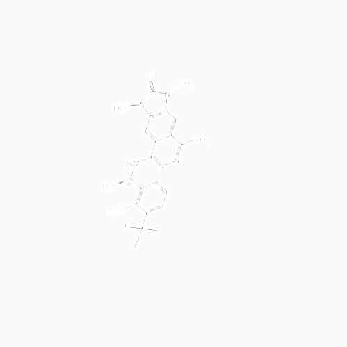 Cc1c([C@@H](C)Nc2nnc(C)c3cc4c(cc23)n(C)c(=O)n4C)cccc1C(F)(F)F